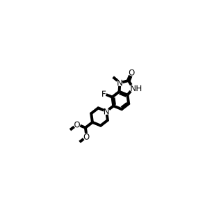 COC(OC)C1CCN(c2ccc3[nH]c(=O)n(C)c3c2F)CC1